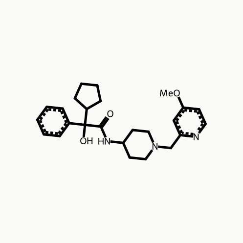 COc1ccnc(CN2CCC(NC(=O)C(O)(c3ccccc3)C3CCCC3)CC2)c1